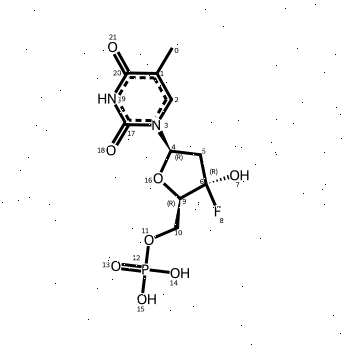 Cc1cn([C@H]2C[C@@](O)(F)[C@@H](COP(=O)(O)O)O2)c(=O)[nH]c1=O